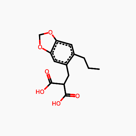 CCCc1cc2c(cc1CC(C(=O)O)C(=O)O)OCO2